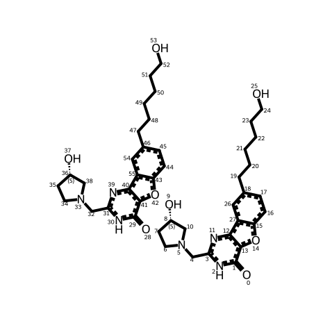 O=c1[nH]c(CN2CC[C@H](O)C2)nc2c1oc1ccc(CCCCCCO)cc12.O=c1[nH]c(CN2CC[C@H](O)C2)nc2c1oc1ccc(CCCCCCO)cc12